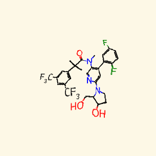 CN(C(=O)C(C)(C)c1cc(C(F)(F)F)cc(C(F)(F)F)c1)c1cnc(N2CCC(O)C2CO)cc1-c1cc(F)ccc1F